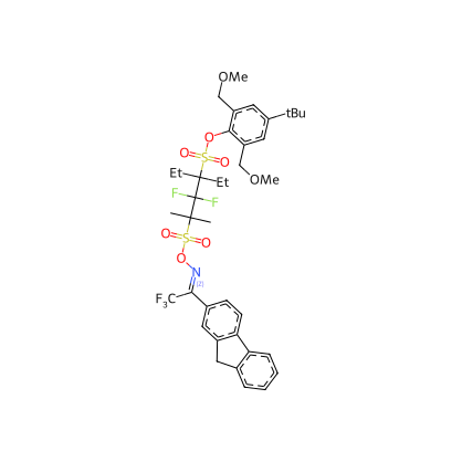 CCC(CC)(C(F)(F)C(C)(C)S(=O)(=O)O/N=C(/c1ccc2c(c1)Cc1ccccc1-2)C(F)(F)F)S(=O)(=O)Oc1c(COC)cc(C(C)(C)C)cc1COC